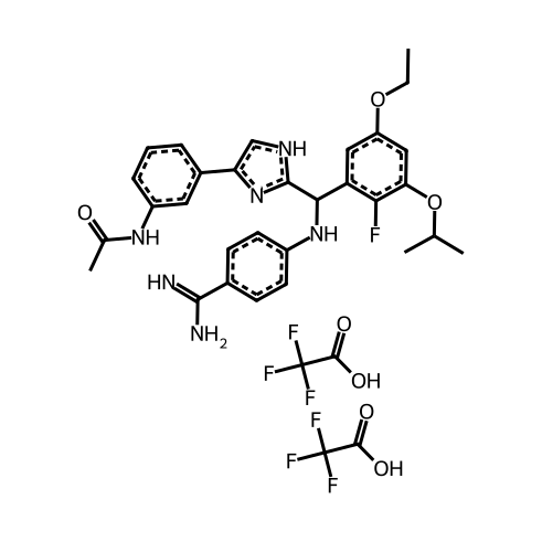 CCOc1cc(OC(C)C)c(F)c(C(Nc2ccc(C(=N)N)cc2)c2nc(-c3cccc(NC(C)=O)c3)c[nH]2)c1.O=C(O)C(F)(F)F.O=C(O)C(F)(F)F